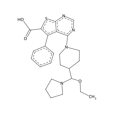 CCOC(C1CCN(c2ncnc3sc(C(=O)O)c(-c4ccccc4)c23)CC1)N1CCCC1